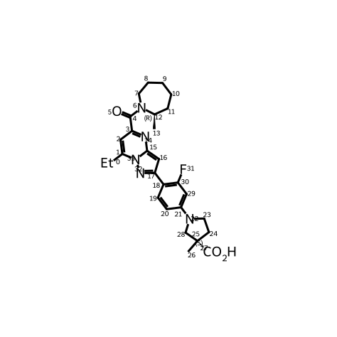 CCc1cc(C(=O)N2CCCCC[C@H]2C)nc2cc(-c3ccc(N4CC[C@](C)(C(=O)O)C4)cc3F)nn12